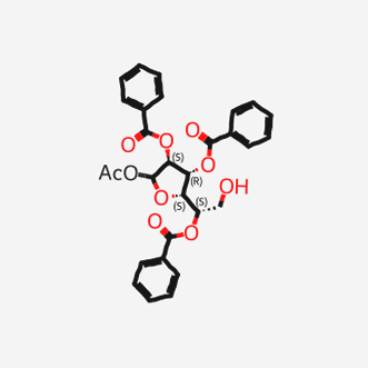 CC(=O)OC1O[C@@H]([C@H](CO)OC(=O)c2ccccc2)[C@@H](OC(=O)c2ccccc2)[C@@H]1OC(=O)c1ccccc1